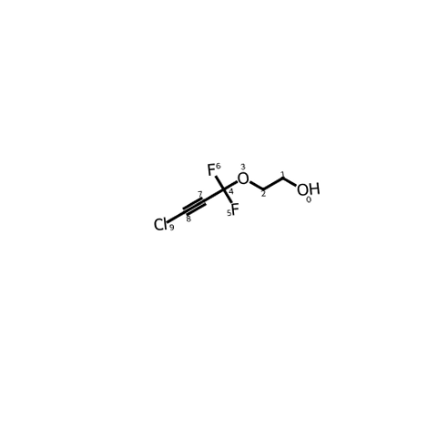 OCCOC(F)(F)C#CCl